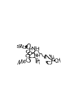 C#CC(=O)NCCCC[C@H](NC(=O)OC(C)(C)C)C(=O)N[C@H](C(=O)OC)C(C)C